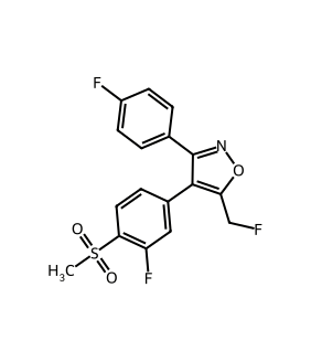 CS(=O)(=O)c1ccc(-c2c(-c3ccc(F)cc3)noc2CF)cc1F